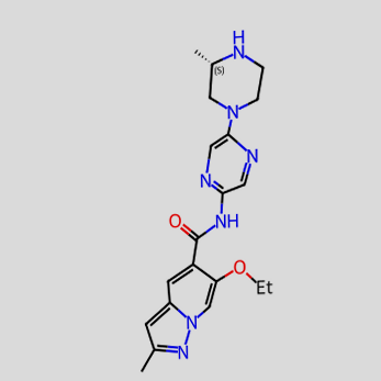 CCOc1cn2nc(C)cc2cc1C(=O)Nc1cnc(N2CCN[C@@H](C)C2)cn1